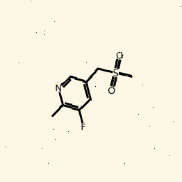 Cc1ncc(CS(C)(=O)=O)cc1F